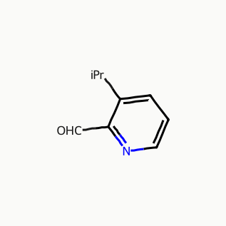 CC(C)c1cccnc1C=O